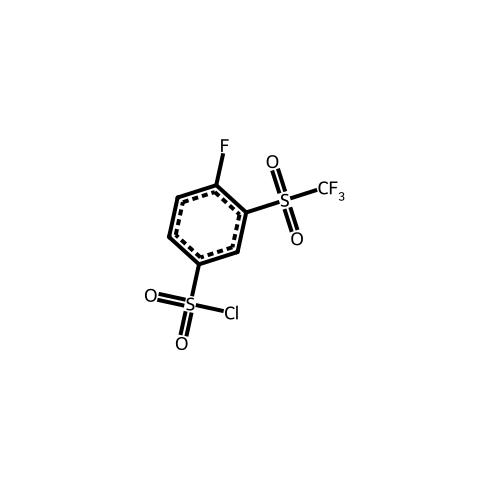 O=S(=O)(Cl)c1ccc(F)c(S(=O)(=O)C(F)(F)F)c1